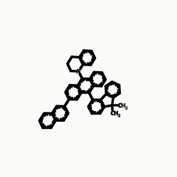 CC1(C)c2ccccc2-c2c(-c3c4ccccc4c(N4CCCc5ccccc54)c4ccc(-c5ccc6ccccc6c5)cc34)cccc21